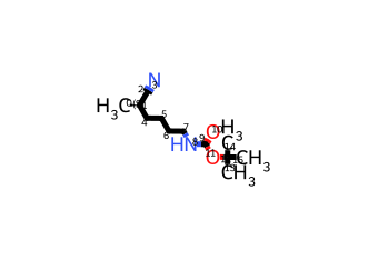 C[C@H](C#N)CCCCNC(=O)OC(C)(C)C